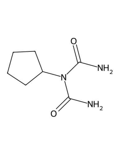 NC(=O)N(C(N)=O)C1CCCC1